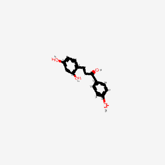 O=C(CCc1ccc(O)cc1O)c1ccc(O)cc1